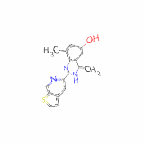 C=C1NC(c2cc3ccsc3cn2)=Nc2c(C)cc(O)cc21